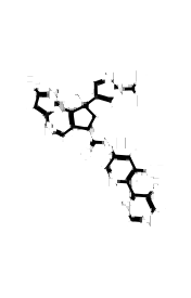 C[C@@]1(c2cnn(C(F)F)c2)C[C@@H](C(=O)Nc2cnc(-c3ncncc3F)c(C(F)(F)F)c2)c2cnc3cc(F)nn3c21